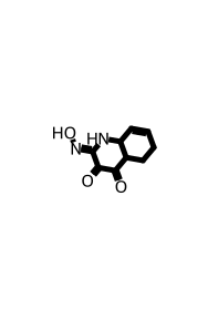 O=C1C(=O)C2CCC=CC2NC1=NO